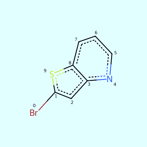 Brc1cc2ncccc2s1